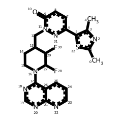 Cc1nc(C)c(-c2ccc(=O)n(CC3CCN(c4ncnc5ncccc45)C(F)C3F)n2)s1